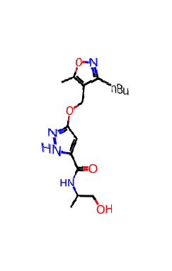 CCCCc1noc(C)c1COc1cc(C(=O)NC(C)CO)[nH]n1